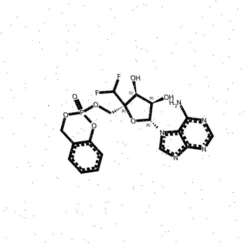 Nc1ncnc2ncn([C@@H]3O[C@@](COP4(=O)OCc5ccccc5O4)(C(F)F)[C@@H](O)[C@H]3O)c12